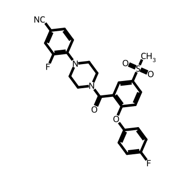 CS(=O)(=O)c1ccc(Oc2ccc(F)cc2)c(C(=O)N2CCN(c3ccc(C#N)cc3F)CC2)c1